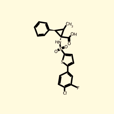 CC1[C@H](c2ccccc2)[C@]1(NS(=O)(=O)c1ccc(-c2ccc(Cl)c(F)c2)s1)C(=O)O